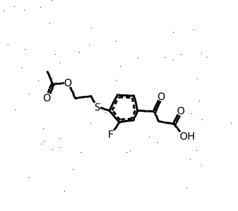 CC(=O)OCCSc1ccc(C(=O)CC(=O)O)cc1F